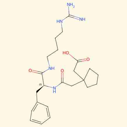 N=C(N)NCCCCNC(=O)[C@H](Cc1ccccc1)NC(=O)CC1(CC(=O)O)CCCC1